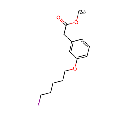 CC(C)(C)OC(=O)Cc1cccc(OCCCCCI)c1